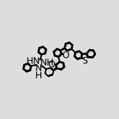 NC(NC(NCC1CC=Cc2c1oc1c(-c3cccc4c3oc3c(-c5ccc6sc7ccccc7c6c5)cccc34)cccc21)c1ccccc1)c1ccccc1